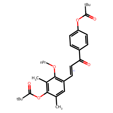 CCCOc1c(/C=C/C(=O)c2ccc(OC(=O)C(C)(C)C)cc2)cc(C)c(OC(=O)C(C)(C)C)c1C